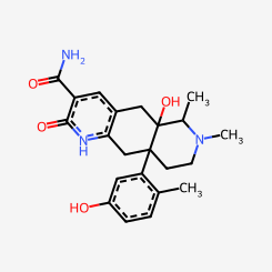 Cc1ccc(O)cc1C12CCN(C)C(C)C1(O)Cc1cc(C(N)=O)c(=O)[nH]c1C2